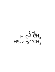 CC(SCCS)C(C)(C)C